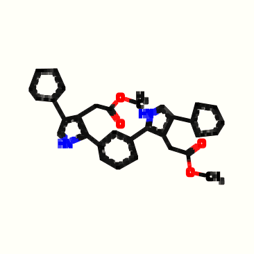 COC(=O)Cc1c(-c2ccccc2)c[nH]c1-c1cccc(-c2[nH]cc(-c3ccccc3)c2CC(=O)OC)c1